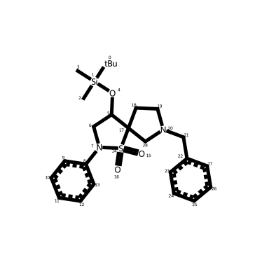 CC(C)(C)[Si](C)(C)OC1CN(c2ccccc2)S(=O)(=O)C12CCN(Cc1ccccc1)C2